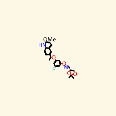 COC1=CC=C2C=C(C(C)Oc3cc(F)cc(O/N=C/[C@H]4COC(C)(C)O4)c3)C=CC2N1